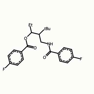 CCC(OC(=O)c1ccc(F)cc1)C(CNC(=O)c1ccc(F)cc1)C(C)(C)C